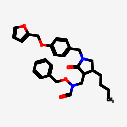 CCCCC1CN(Cc2ccc(OCc3ccco3)cc2)C(=O)C1CN(C=O)OCc1ccccc1